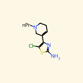 CCCN1CCC=C(c2nc(N)sc2Cl)C1